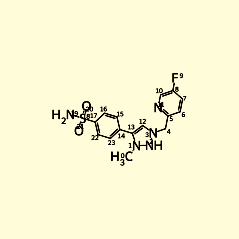 CN1NN(Cc2ccc(F)cn2)C=C1c1ccc(S(N)(=O)=O)cc1